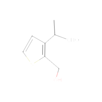 CC(C=O)c1ccsc1CO